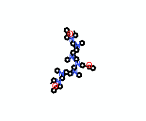 Cc1cccc(N(c2ccc3c4c5ccc6c(c5ccc4n(-c4ccccc4)c3c2)c2ccc(N(c3ccc(-c4cc5ccccc5o4)cc3)c3ccc4c5c7ccc8c(c7ccc5n(-c5ccccc5)c4c3)c3ccc(N(c4cccc(C)c4)c4cccc5c4oc4ccccc45)cc3n8-c3ccccc3)cc2n6-c2ccccc2)c2cccc3c2oc2ccccc23)c1